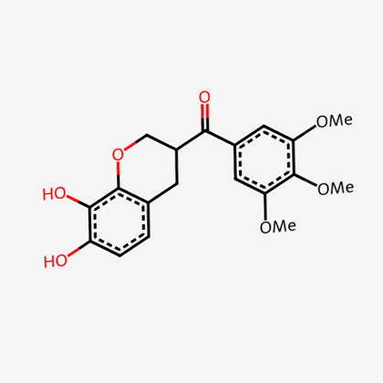 COc1cc(C(=O)C2COc3c(ccc(O)c3O)C2)cc(OC)c1OC